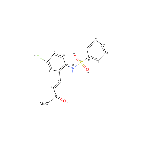 COC(=O)C=Cc1cc(F)ccc1NS(=O)(=O)c1ccccc1